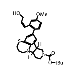 COc1ccc(-c2cc3c4c(c2)[C@@H]2CN(C(=O)OC(C)(C)C)CC[C@@H]2N4CCCS3)c(/C=C\CO)c1